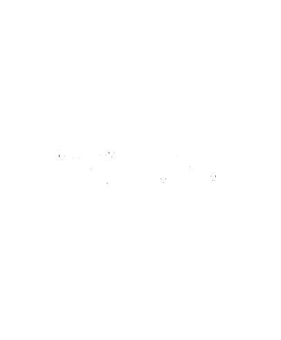 CCC(OC)(OC)[SiH2]c1ccc([SiH2]C(CC)(OC)OC)cc1